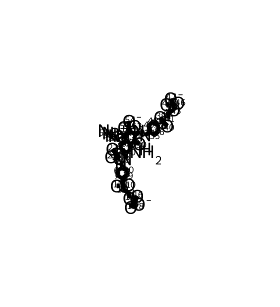 Nc1c(N=Nc2ccc(S(=O)(=O)CCOS(=O)(=O)[O-])cc2)c(S(=O)(=O)[O-])cc2c1C(=O)/C(=N\Nc1ccc(S(=O)(=O)CCOS(=O)(=O)[O-])cc1)C(S(=O)(=O)[O-])=C2.[Na+].[Na+].[Na+].[Na+]